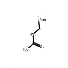 CCCCCCNC(=O)C(F)(F)F